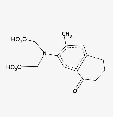 Cc1cc2c(cc1N(CC(=O)O)CC(=O)O)C(=O)CCC2